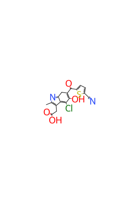 CC1=C(CC(=O)O)C2=C(Cl)C(O)=C(C(=O)c3ccc(C#N)s3)CC2=N1